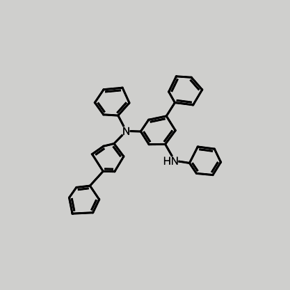 c1ccc(Nc2cc(-c3ccccc3)cc(N(c3ccccc3)c3ccc(-c4ccccc4)cc3)c2)cc1